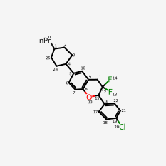 CCCC1CCC(c2ccc3c(c2)CC(F)(F)C(c2ccc(Cl)cc2)O3)CC1